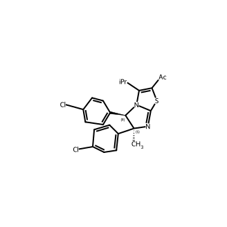 CC(=O)C1=C(C(C)C)N2C(=N[C@@](C)(c3ccc(Cl)cc3)[C@H]2c2ccc(Cl)cc2)S1